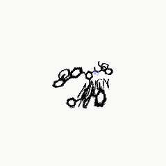 C=Cc1oc2ccccc2c1/C=C(\C)c1cc(-c2ccc3oc4ccccc4c3c2)cc(-c2nc(-c3ccccc3)nc(-c3ccccc3C#N)n2)c1